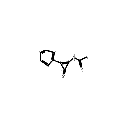 CC(=O)Nc1c(-c2ccccc2)c1=O